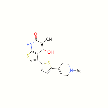 CC(=O)N1CC=C(c2ccc(-c3csc4[nH]c(=O)c(C#N)c(O)c34)s2)CC1